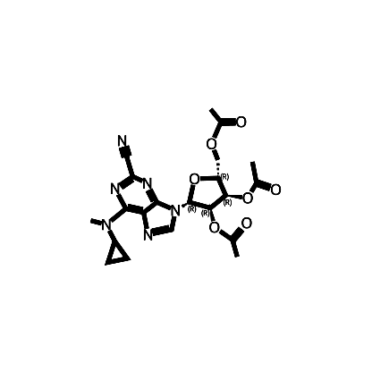 CC(=O)OC[C@H]1O[C@@H](n2cnc3c(N(C)C4CC4)nc(C#N)nc32)[C@H](OC(C)=O)[C@@H]1OC(C)=O